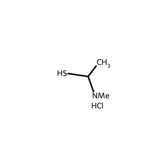 CNC(C)S.Cl